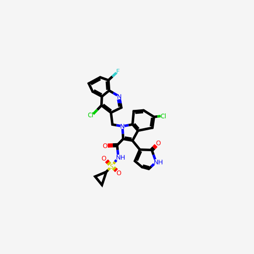 O=C(NS(=O)(=O)C1CC1)c1c(-c2ccc[nH]c2=O)c2cc(Cl)ccc2n1Cc1cnc2c(F)cccc2c1Cl